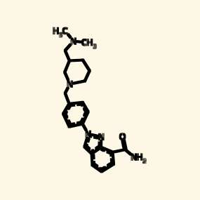 CN(C)CC1CCCN(Cc2ccc(-n3cc4cccc(C(N)=O)c4n3)cc2)C1